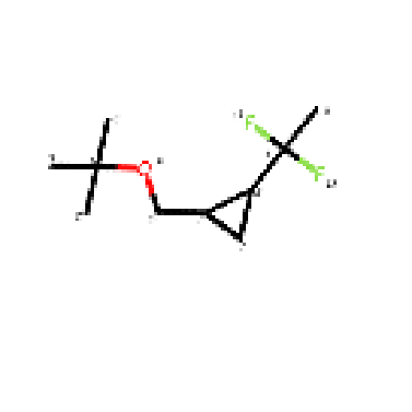 CC(C)(C)OCC1CC1C(C)(F)F